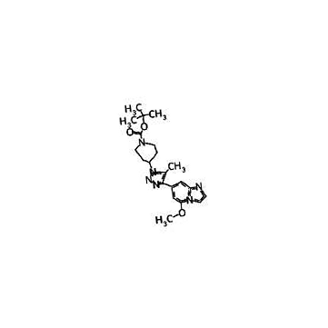 COc1cc(-c2nnn(C3CCN(C(=O)OC(C)(C)C)CC3)c2C)cc2nccn12